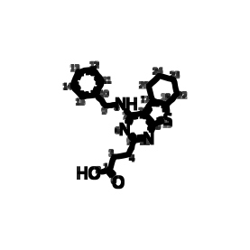 O=C(O)CCc1nc(NCc2ccccc2)c2c3c(sc2n1)CCCC3